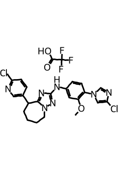 COc1cc(Nc2nc3n(n2)CCCCC3c2ccc(Cl)nc2)ccc1-n1cnc(Cl)c1.O=C(O)C(F)(F)F